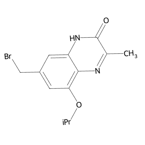 Cc1nc2c(OC(C)C)cc(CBr)cc2[nH]c1=O